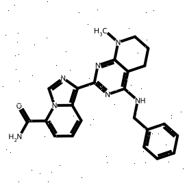 CN1CCCc2c(NCc3ccccc3)nc(-c3ncn4c(C(N)=O)cccc34)nc21